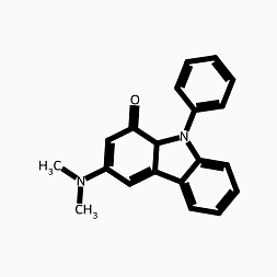 CN(C)C1=CC(=O)C2C(=C1)c1ccccc1N2c1ccccc1